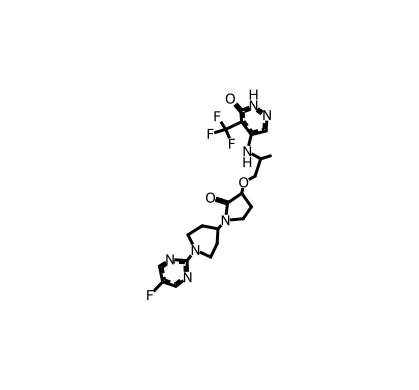 CC(COC1CCN(C2CCN(c3ncc(F)cn3)CC2)C1=O)Nc1cn[nH]c(=O)c1C(F)(F)F